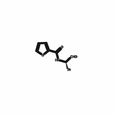 CC(C)[C@@H]([C]=O)NC(=O)c1ccco1